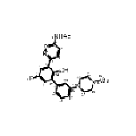 CC(=O)Nc1ccc(-c2cc(F)cc(-c3cccc(N4CCN(C(C)(C)C)CC4)c3)c2O)nn1